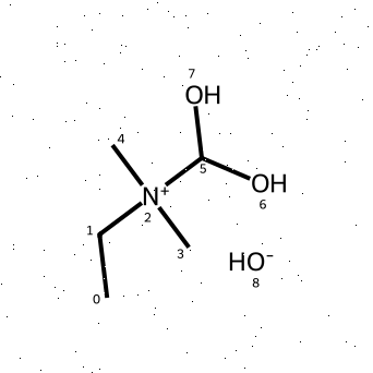 CC[N+](C)(C)C(O)O.[OH-]